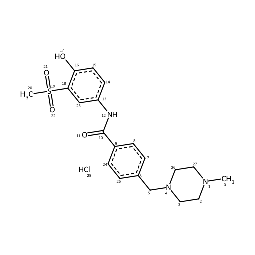 CN1CCN(Cc2ccc(C(=O)Nc3ccc(O)c(S(C)(=O)=O)c3)cc2)CC1.Cl